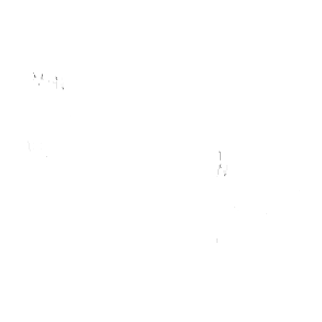 CNC(CCCCNC(=O)C1CC1)C(=O)O